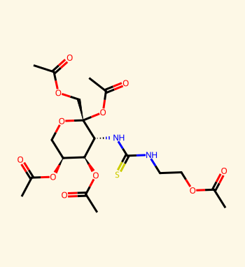 CC(=O)OCCNC(=S)N[C@@H]1[C@@H](OC(C)=O)[C@@H](OC(C)=O)CO[C@]1(COC(C)=O)OC(C)=O